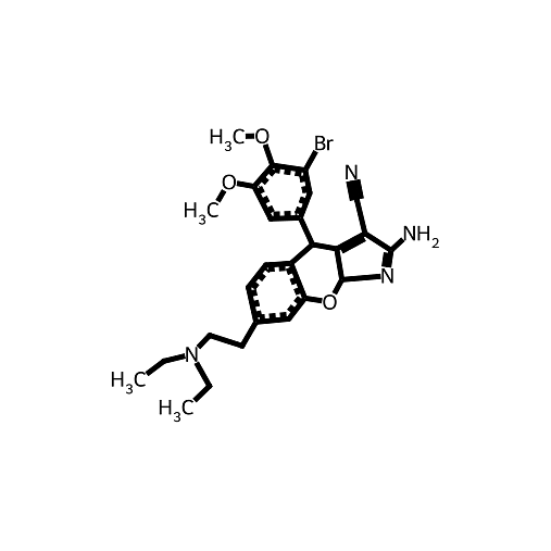 CCN(CC)CCc1ccc2c(c1)OC1N=C(N)C(C#N)=C1C2c1cc(Br)c(OC)c(OC)c1